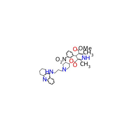 COC(=O)C1=C(C)NC(C)=C(C(=O)OC2CCN(CCCNc3c4c(nc5ccccc35)CCCC4)CC2)C1c1cccc([N+](=O)[O-])c1